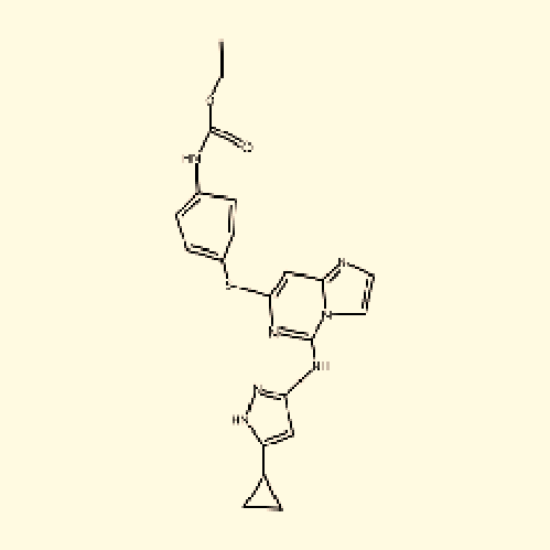 CCOC(=O)Nc1ccc(Sc2cc3nccn3c(Nc3cc(C4CC4)[nH]n3)n2)cc1